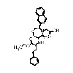 CCOC(=O)C(CCc1ccccc1)NC1CSCC(c2ccc3ccccc3c2)N(CC(=O)O)C1=O